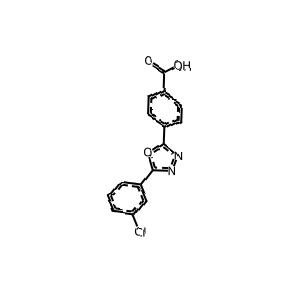 O=C(O)c1ccc(-c2nnc(-c3cccc(Cl)c3)o2)cc1